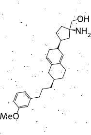 COc1cccc(CCC[C@@H]2CCC3=CC([C@H]4CC[C@](N)(CO)C4)CC=C3C2)c1